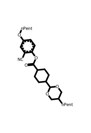 CCCCCOc1ccc(OC(=O)C2CCC(C3OCC(CCCCC)CO3)CC2)c(C#N)c1